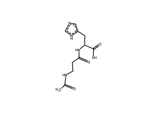 CC(=O)NCCC(=O)NC(Cc1cnc[nH]1)C(=O)O